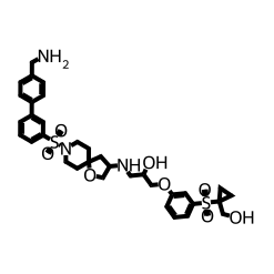 NCc1ccc(-c2cccc(S(=O)(=O)N3CCC4(CC3)CC(NCC(O)COc3cccc(S(=O)(=O)C5(CO)CC5)c3)CO4)c2)cc1